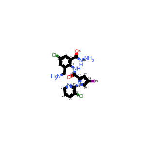 NCc1cc(Cl)cc(C(=O)NN)c1NC(=O)c1cc(I)cn1-c1ncccc1Cl